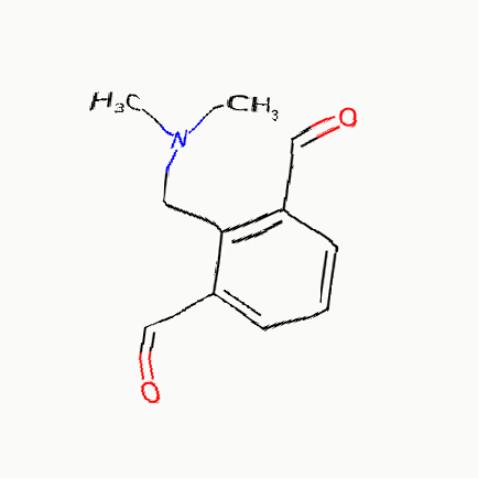 CN(C)Cc1c(C=O)cccc1C=O